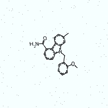 COc1ccccc1Cn1c2cc(C)c[c]c2c2c(C(N)=O)cccc21